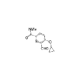 CNC(=O)c1ccc(OC2CC2)c(C=O)n1